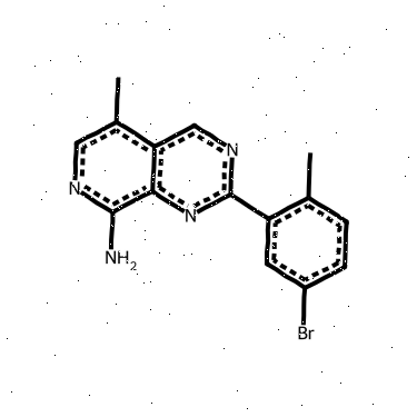 Cc1ccc(Br)cc1-c1ncc2c(C)cnc(N)c2n1